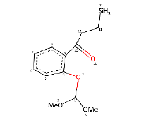 COC(OC)Oc1ccccc1C(=O)CC[SiH3]